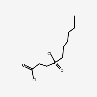 CCCCCCP(=O)(Cl)CCC(=O)Cl